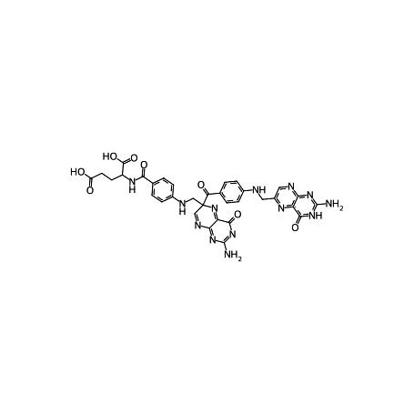 NC1=NC(=O)C2=NC(CNc3ccc(C(=O)NC(CCC(=O)O)C(=O)O)cc3)(C(=O)c3ccc(NCc4cnc5nc(N)[nH]c(=O)c5n4)cc3)C=NC2=N1